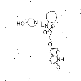 O=c1ccc2cc(OCCCS(=O)(=O)N(CCN3CCC(O)CC3)C3CCCCCCC3)ccc2[nH]1